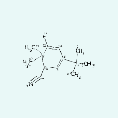 CC(C)(C)C1=CC(C#N)C(C)(C)C(F)=C1